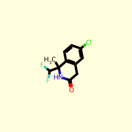 CC1(C(F)F)NC(=O)Cc2cc(Cl)ccc21